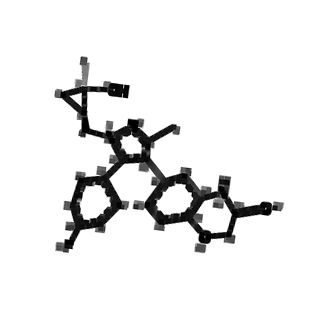 Cc1nn(C[C@H]2C[C@@]2(C)O)c(-c2ccc(F)cc2)c1-c1ccc2c(c1)NC(=O)CO2